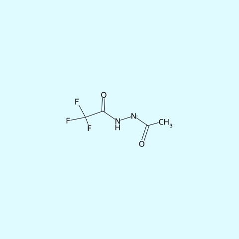 CC(=O)[N]NC(=O)C(F)(F)F